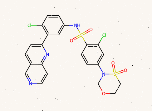 O=S(=O)(Nc1ccc(Cl)c(-c2ccc3cnccc3n2)c1)c1ccc(N2COCCS2(=O)=O)cc1Cl